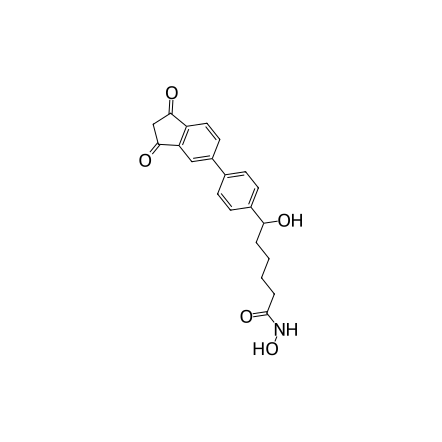 O=C(CCCCC(O)c1ccc(-c2ccc3c(c2)C(=O)CC3=O)cc1)NO